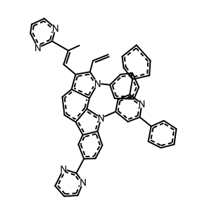 C=Cc1c(/C=C(\C)c2ncccn2)c2ccc3c4cc(-c5ncccn5)ccc4n(-c4cc(-c5ccccc5)nc(-c5ccccc5)c4)c3c2n1-c1ccccc1